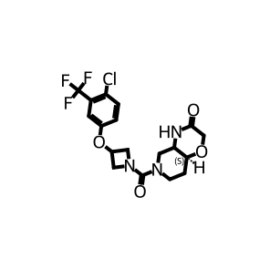 O=C1CO[C@H]2CCN(C(=O)N3CC(Oc4ccc(Cl)c(C(F)(F)F)c4)C3)CC2N1